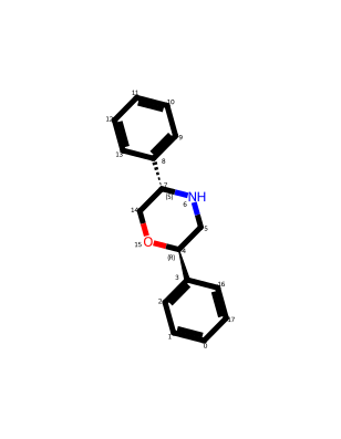 c1ccc([C@@H]2CN[C@@H](c3ccccc3)CO2)cc1